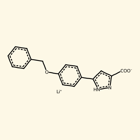 O=C([O-])c1cc(-c2ccc(OCc3ccccc3)cc2)[nH]n1.[Li+]